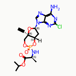 C#C[C@@]12COP(=O)(N[C@@H](C)C(=O)OC(C)C)O[C@H]1C[C@H](n1cnc3c(N)nc(Cl)nc31)O2